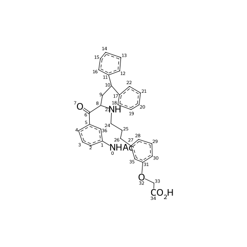 CC(=O)Nc1cccc(C(=O)C(CC(c2ccccc2)c2ccccc2)NCCCc2cccc(OCC(=O)O)c2)c1